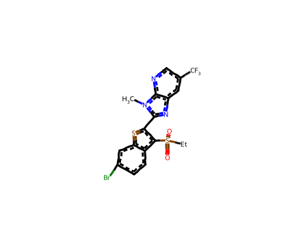 CCS(=O)(=O)c1c(-c2nc3cc(C(F)(F)F)cnc3n2C)sc2cc(Br)ccc12